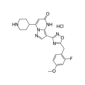 COc1ccc(Cc2nc(-c3cnn4c(C5CCNCC5)cc(=O)[nH]c34)no2)c(F)c1.Cl